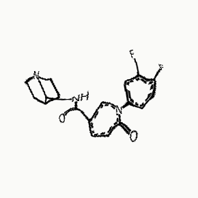 O=C(NC1CN2CCC1CC2)c1ccc(=O)n(-c2ccc(F)c(F)c2)c1